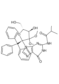 COC1(OC)[C@H](O)[C@@H](CO)O[C@]1(n1cnc2c(=O)[nH]c(NC(=O)C(C)C)nc21)C(c1ccccc1)(c1ccccc1)c1ccccc1